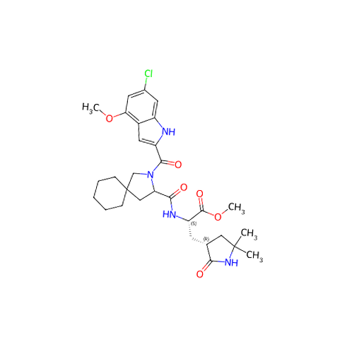 COC(=O)[C@H](C[C@@H]1CC(C)(C)NC1=O)NC(=O)C1CC2(CCCCC2)CN1C(=O)c1cc2c(OC)cc(Cl)cc2[nH]1